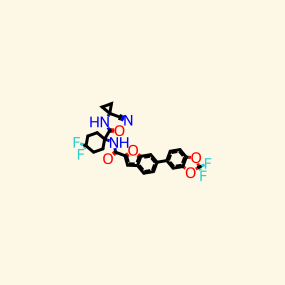 N#CC1(NC(=O)C2(NC(=O)c3cc4ccc(-c5ccc6c(c5)OC(F)(F)O6)cc4o3)CCC(F)(F)CC2)CC1